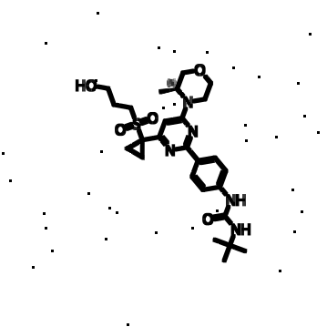 C[C@H]1COCCN1c1cc(C2(S(=O)(=O)CCCO)CC2)nc(-c2ccc(NC(=O)NC(C)(C)C)cc2)n1